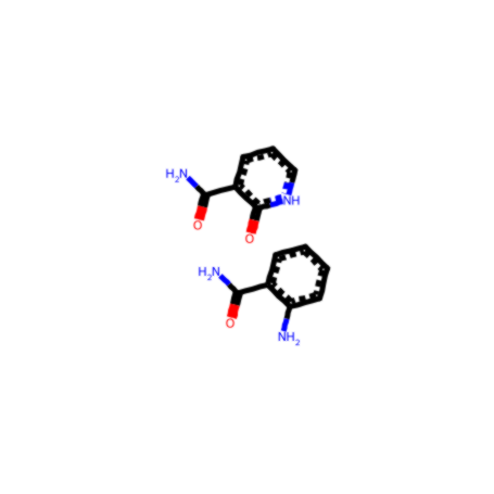 NC(=O)c1ccc[nH]c1=O.NC(=O)c1ccccc1N